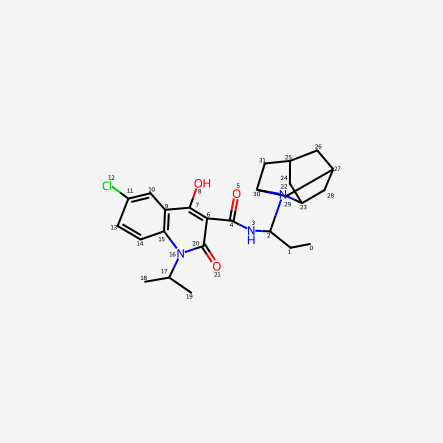 CCC(NC(=O)c1c(O)c2cc(Cl)ccc2n(C(C)C)c1=O)N1C2CC3CC(C2)CC1C3